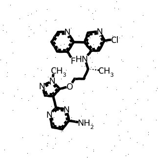 C[C@H](CCOc1c(-c2nccc(N)n2)cnn1C)Nc1cc(Cl)ncc1-c1ncccc1F